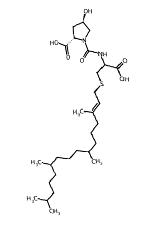 C/C(=C\CSCC(NC(=O)N1C[C@H](O)C[C@H]1C(=O)O)C(=O)O)CCCC(C)CCCC(C)CCCC(C)C